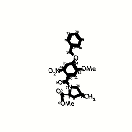 C=C1C[C@@H](C(=O)OC)N(C(=O)c2cc(OC)c(OCc3ccccc3)cc2[N+](=O)[O-])C1